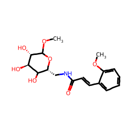 COc1ccccc1/C=C/C(=O)NC[C@H]1OC(OC)[C@@H](O)[C@H](O)C1O